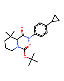 CC(C)(C)OC(=O)N1CCCC(C)(C)C1C(=O)Nc1ccc(C2CC2)cc1